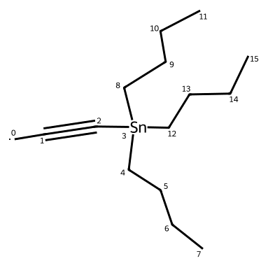 [CH2]C#[C][Sn]([CH2]CCC)([CH2]CCC)[CH2]CCC